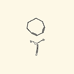 C1=CCCCCC=C1.O=[C]=[Co]([Br])[Br]